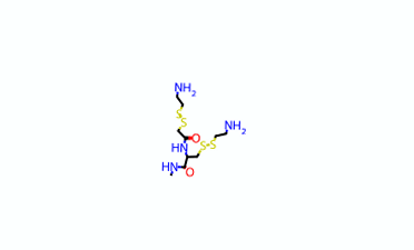 CNC(=O)C(CSSCCN)NC(=O)CSSCCN